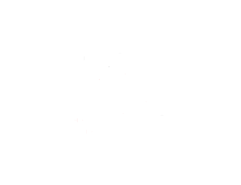 CO[C@@H]1OC(CO)(CO)C2OC(C)(C)OC21